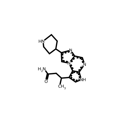 CC(CC(N)=O)c1c[nH]c2ncc3nc(C4CCNCC4)cn3c12